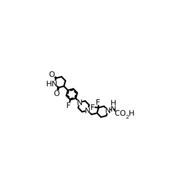 O=C(O)NN1CCC(CN2CCN(c3ccc(C4CCC(=O)NC4=O)cc3F)CC2)C(F)(F)C1